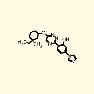 CC[C@@]1(C)CCC[C@@H](Oc2cnc(-c3ccc(-n4ccnc4)cc3O)nn2)C1